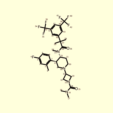 Cc1cc(F)ccc1[C@@H]1CN(C2CN(C(=O)N(C)C)C2)CC[C@H]1N(C)C(=O)C(C)(C)c1cc(C(F)(F)F)cc(C(F)(F)F)c1